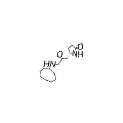 O=C(CNC1CCCCCCC1)C[C@@H]1CCC(=O)N1